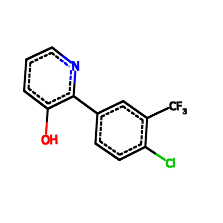 Oc1cccnc1-c1ccc(Cl)c(C(F)(F)F)c1